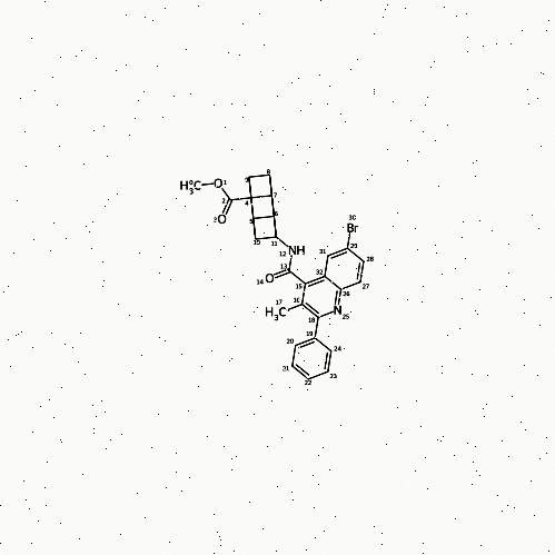 COC(=O)C12C3C4C1C1C2C3C41NC(=O)c1c(C)c(-c2ccccc2)nc2ccc(Br)cc12